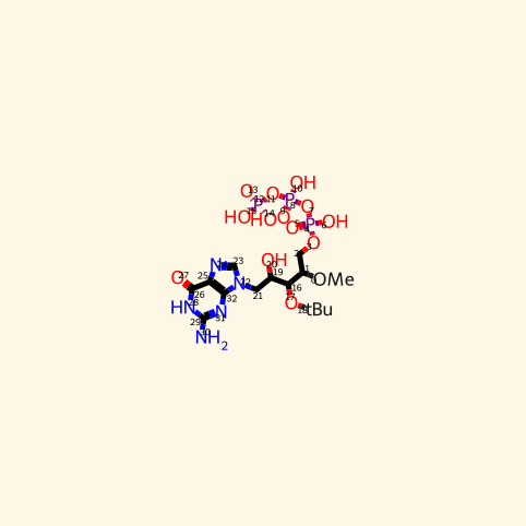 COC(COP(=O)(O)OP(=O)(O)OP(=O)(O)O)C(OC(C)(C)C)C(O)Cn1cnc2c(=O)[nH]c(N)nc21